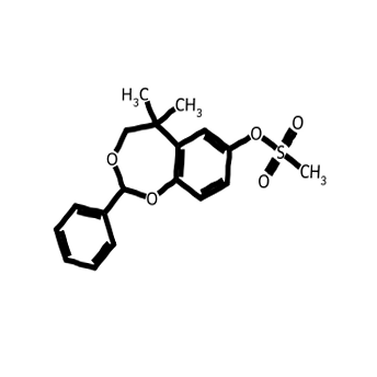 CC1(C)COC(c2ccccc2)Oc2ccc(OS(C)(=O)=O)cc21